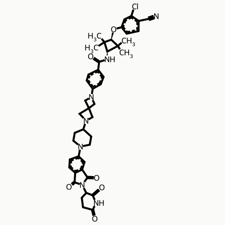 CC1(C)[C@H](NC(=O)c2ccc(N3CC4(C3)CN(C3CCN(c5ccc6c(c5)C(=O)N(C5CCC(=O)NC5=O)C6=O)CC3)C4)cc2)C(C)(C)[C@H]1Oc1ccc(C#N)c(Cl)c1